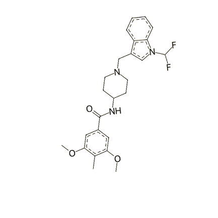 COc1cc(C(=O)NC2CCN(Cc3cn(C(F)F)c4ccccc34)CC2)cc(OC)c1C